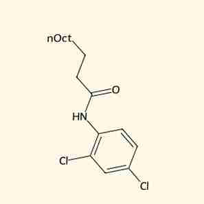 CCCCCCCCCCC(=O)Nc1ccc(Cl)cc1Cl